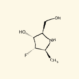 C[C@@H]1N[C@H](CO)[C@@H](O)[C@H]1F